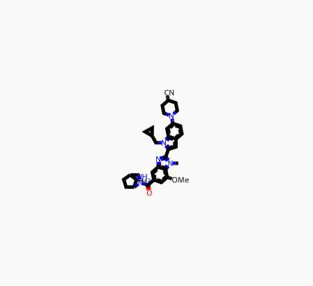 COc1cc(C(=O)N2CC3CCC2[C@@H]3N)cc2nc(-c3cc4ccc(N5CCC(C#N)CC5)cc4n3CC3CC3)n(C)c12